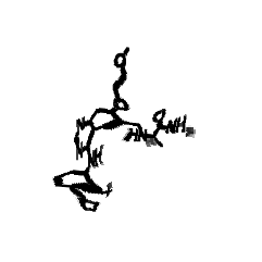 COCCOc1cc2ncnc(Nc3cccc(Cl)c3F)c2cc1CN[C@H](C)C(N)=O